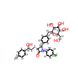 O=C1[C@H](CC[C@H](O)c2ccc(F)cc2)[C@@H](c2ccc(C[C@@H]3O[C@H](CO)[C@@H](O)[C@H](O)[C@@H]3O)cc2)N1c1ccc(F)cc1